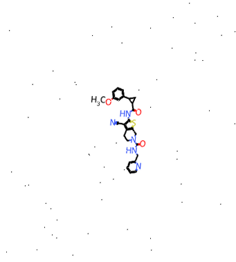 COc1cccc(C2CC2C(=O)Nc2sc3c(c2C#N)CCN(C(=O)NCc2ccccn2)C3)c1